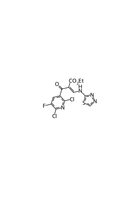 CCOC(=O)C(=CNc1nncs1)C(=O)c1cc(F)c(Cl)nc1Cl